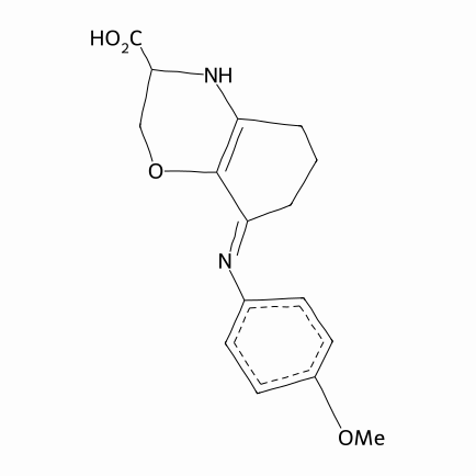 COc1ccc(/N=C2\CCCC3=C2OCC(C(=O)O)N3)cc1